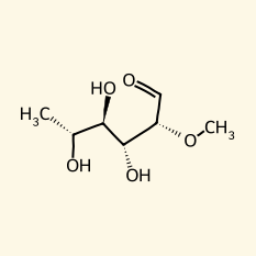 CO[C@@H](C=O)[C@H](O)[C@H](O)[C@@H](C)O